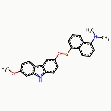 COc1ccc2c(c1)[nH]c1ccc(OSc3cccc4c(N(C)C)cccc34)cc12